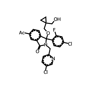 CC(=O)c1ccc2c(c1)C(=O)N(Cc1ccc(Cl)cn1)C2(OCC1(CO)CC1)c1ccc(Cl)cc1F